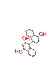 Oc1cc(O)c2ccccc2c1-c1ccc(O)c2ccccc12